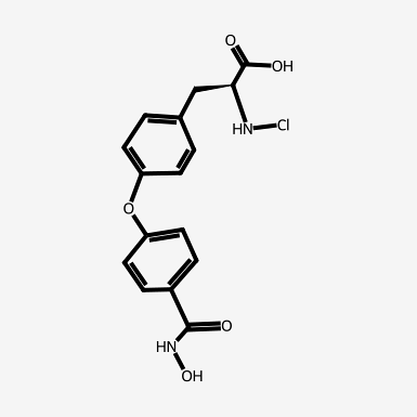 O=C(NO)c1ccc(Oc2ccc(C[C@H](NCl)C(=O)O)cc2)cc1